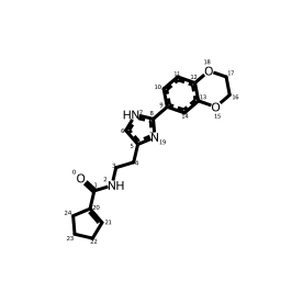 O=C(NCCc1c[nH]c(-c2ccc3c(c2)OCCO3)n1)C1=CCCC1